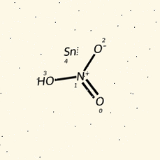 O=[N+]([O-])O.[Sn]